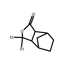 CCC1(CC)OC(=O)C2C3CCC(C3)C21